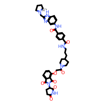 C[C@H]1CCCN1Cc1nc2cc(NC(=O)c3ccc(C(=O)NCCCC4CCN(C(=O)COc5cccc6c5C(=O)N(C5CCC(=O)NC5=O)C6=O)CC4)cc3)ccc2[nH]1